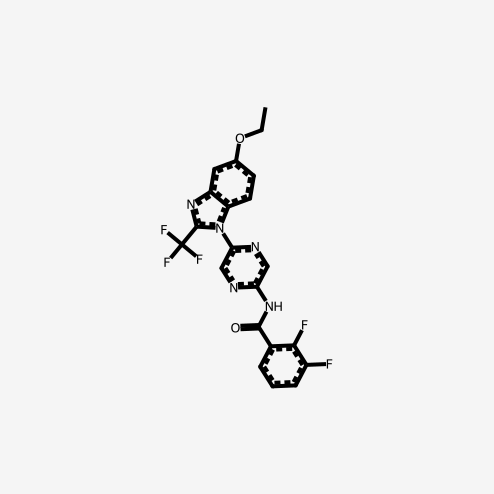 CCOc1ccc2c(c1)nc(C(F)(F)F)n2-c1cnc(NC(=O)c2cccc(F)c2F)cn1